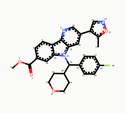 COC(=O)c1ccc2c3ncc(-c4cnoc4C)cc3n(C(c3ccc(F)cc3)C3CCOCC3)c2c1